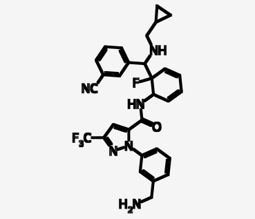 N#Cc1cccc(C(NCC2CC2)C2(F)C=CC=CC2NC(=O)c2cc(C(F)(F)F)nn2-c2cccc(CN)c2)c1